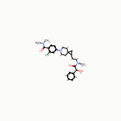 CN(C)C(=O)c1ccc(N2CCC3(CC2)CC3CCN(C)C(=O)C(O)c2ccccc2)cc1Cl